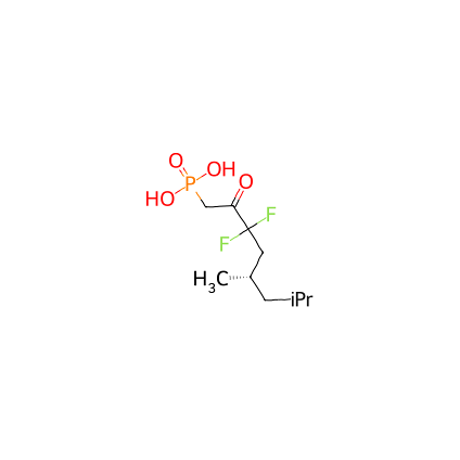 CC(C)C[C@H](C)CC(F)(F)C(=O)CP(=O)(O)O